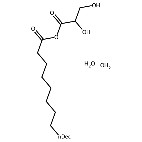 CCCCCCCCCCCCCCCCCC(=O)OC(=O)C(O)CO.O.O